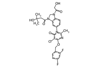 Cc1nc(OCc2ccc(F)cc2F)c(Cl)c(=O)n1-c1ccc2c(c1)N(C(=O)CC(C)(C)O)CN2C(=O)CO